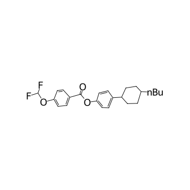 CCCCC1CCC(c2ccc(OC(=O)c3ccc(OC(F)F)cc3)cc2)CC1